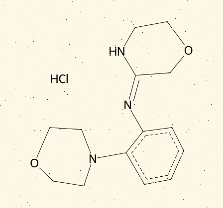 Cl.c1ccc(N2CCOCC2)c(/N=C2\COCCN2)c1